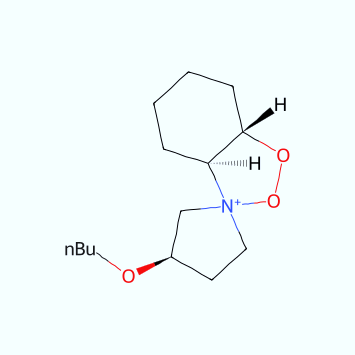 CCCCO[C@@H]1CC[N+]2(C1)OO[C@H]1CCCC[C@@H]12